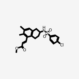 COC(=O)/C=C/c1c(C)c(C)cc2c1CCC(NS(=O)(=O)c1ccc(Cl)cc1)C2